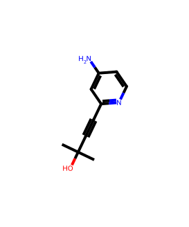 CC(C)(O)C#Cc1cc(N)ccn1